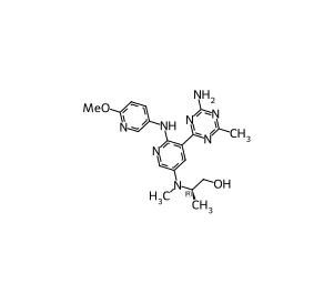 COc1ccc(Nc2ncc(N(C)[C@H](C)CO)cc2-c2nc(C)nc(N)n2)cn1